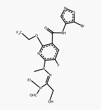 CCN(C=O)/C(CO)=N\N(C)c1nc(OCC(F)(F)F)c(C(=O)Nc2cnsc2Br)cc1F